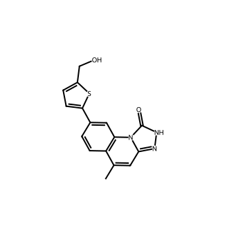 Cc1cc2n[nH]c(=O)n2c2cc(-c3ccc(CO)s3)ccc12